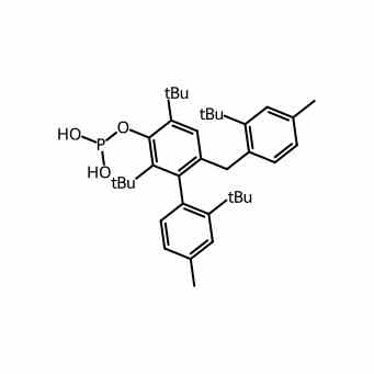 Cc1ccc(Cc2cc(C(C)(C)C)c(OP(O)O)c(C(C)(C)C)c2-c2ccc(C)cc2C(C)(C)C)c(C(C)(C)C)c1